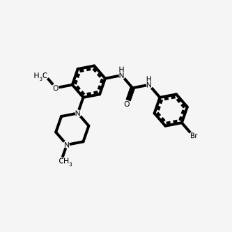 COc1ccc(NC(=O)Nc2ccc(Br)cc2)cc1N1CCN(C)CC1